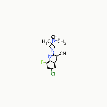 CN(C)C1(C)CN(c2nc3c(F)cc(Cl)cc3cc2C#N)C1